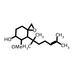 COC1C(O)CCC2(CO2)C1C(C)(C)CCC=C(C)C